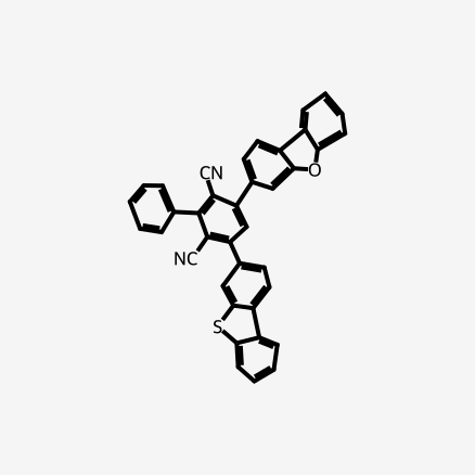 N#Cc1c(-c2ccc3c(c2)oc2ccccc23)cc(-c2ccc3c(c2)sc2ccccc23)c(C#N)c1-c1ccccc1